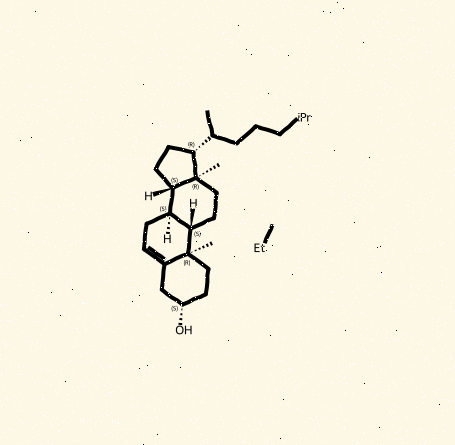 CC(C)CCCC(C)[C@H]1CC[C@H]2[C@@H]3CC=C4C[C@@H](O)CC[C@]4(C)[C@H]3CC[C@]12C.CCC